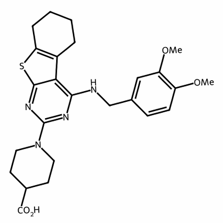 COc1ccc(CNc2nc(N3CCC(C(=O)O)CC3)nc3sc4c(c23)CCCC4)cc1OC